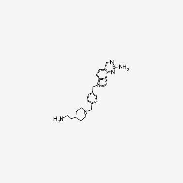 NCCC1CCN(Cc2ccc(Cn3ccc4c5nc(N)ncc5ccc43)cc2)CC1